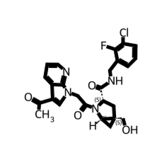 CC(=O)c1cn(CC(=O)N2[C@H](C(=O)NCc3cccc(Cl)c3F)C[C@@]3(CO)C[C@@H]23)c2ncccc12